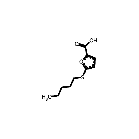 CCCCCSc1ccc(C(=O)O)o1